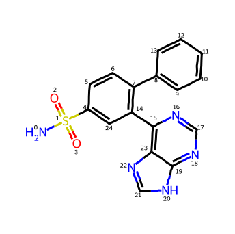 NS(=O)(=O)c1ccc(-c2ccccc2)c(-c2ncnc3[nH]cnc23)c1